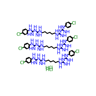 Cl.Cl.N=C(NCCCCCCNC(=N)NC(=N)Nc1ccc(Cl)cc1)NC(=N)Nc1ccc(Cl)cc1.N=C(NCCCCCCNC(=N)NC(=N)Nc1ccc(Cl)cc1)NC(=N)Nc1ccc(Cl)cc1.N=C(NCCCCCCNC(=N)NC(=N)Nc1ccc(Cl)cc1)NC(=N)Nc1ccc(Cl)cc1